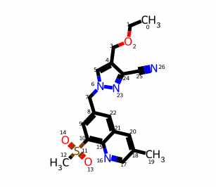 CCOCc1cn(Cc2cc(S(C)(=O)=O)c3ncc(C)cc3c2)nc1C#N